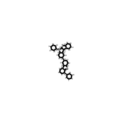 c1ccc(-c2cccc3c2sc2ccc(-c4ccc5c(c4)c4c6ccccc6sc4n5-c4ccccc4)cc23)cc1